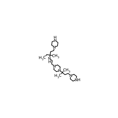 CCC(C)(CCN1CCNCC1)NCCN1CCN(C(C)(C)CCN2CCNCC2)CC1